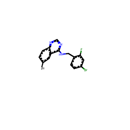 CC(C)c1ccc2ncnc(NCc3ccc(Br)cc3F)c2c1